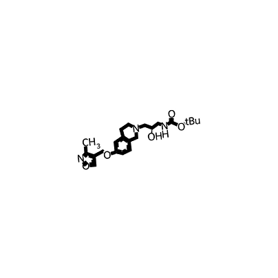 Cc1nocc1COc1ccc2c(c1)CCN(C[C@@H](O)CNC(=O)OC(C)(C)C)C2